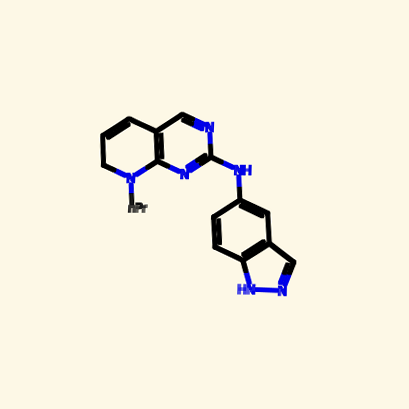 CCCN1CC=Cc2cnc(Nc3ccc4[nH]ncc4c3)nc21